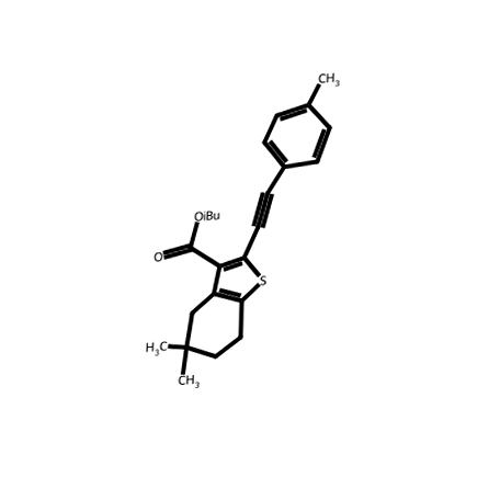 Cc1ccc(C#Cc2sc3c(c2C(=O)OCC(C)C)CC(C)(C)CC3)cc1